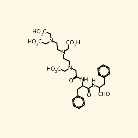 O=CC(Cc1ccccc1)NC(=O)C(Cc1ccccc1)NC(=O)CN(CCN(CCN(CC(=O)O)CC(=O)O)CC(=O)O)CC(=O)O